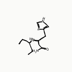 CCC(CC)NC(Cc1c[nH]cn1)C(N)=O